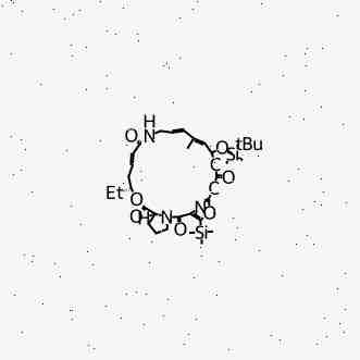 CC[C@@H]1C/C=C/C(=O)NC/C=C/C(C)=C/C(O[Si](C)(C)C(C)(C)C)CC(=O)Cc2nc(c([Si](C)(C)C)o2)C(=O)N2CCC[C@@H]2C(=O)O1